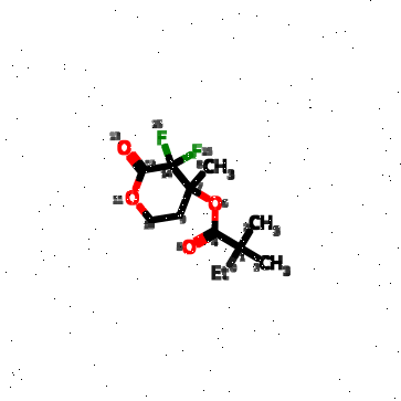 CCC(C)(C)C(=O)OC1(C)CCOC(=O)C1(F)F